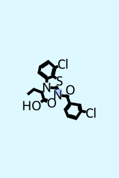 CCC(C(=O)O)n1/c(=N/C(=O)c2cccc(Cl)c2)sc2c(Cl)cccc21